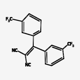 [C-]#[N+]C(C#N)=C(c1cccc(C(F)(F)F)c1)c1cccc(C(F)(F)F)c1